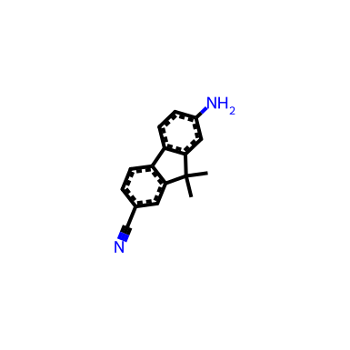 CC1(C)c2cc(N)ccc2-c2ccc(C#N)cc21